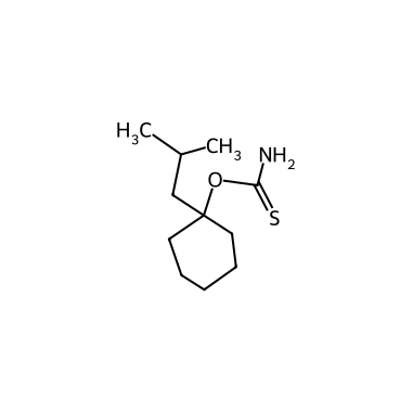 CC(C)CC1(OC(N)=S)CCCCC1